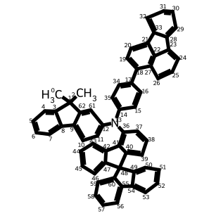 CC1(C)c2ccccc2-c2ccc(N(c3ccc(-c4ccc5c6c(cccc46)-c4ccccc4-5)cc3)c3cccc4c3-c3ccccc3C43c4ccccc4-c4ccccc43)cc21